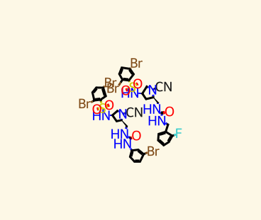 N#CN1C[C@H](NS(=O)(=O)c2cc(Br)ccc2Br)C[C@@H]1CNC(=O)NCc1ccccc1F.N#CN1C[C@H](NS(=O)(=O)c2cc(Br)ccc2Br)C[C@@H]1CNC(=O)Nc1cccc(Br)c1